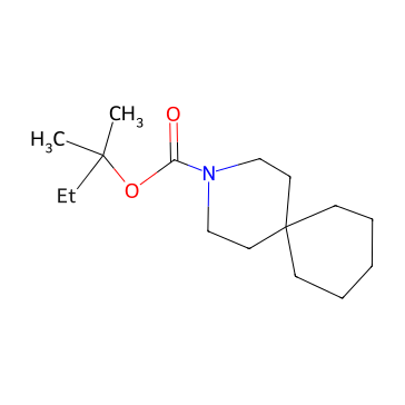 CCC(C)(C)OC(=O)N1CCC2(CCCCC2)CC1